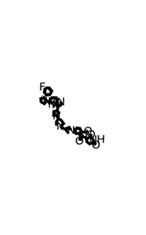 O=C1CCC(N2C(=O)c3ccc(N4CC(CN5CCC(n6ccc(-c7cnc8ccc(N9CCC[C@@H]9c9cccc(F)c9)nn78)c6)CC5)C4)cc3C2=O)C(=O)N1